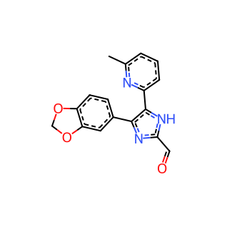 Cc1cccc(-c2[nH]c(C=O)nc2-c2ccc3c(c2)OCO3)n1